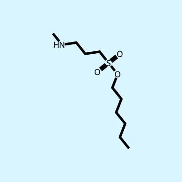 CCCCCCOS(=O)(=O)CCCNC